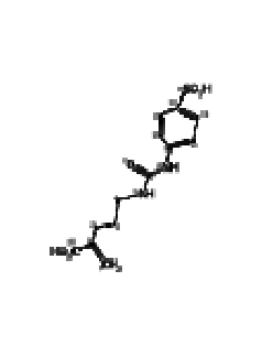 C=C(CCCNC(=O)Nc1ccc(S(=O)(=O)O)cc1)C(=O)O